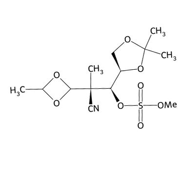 COS(=O)(=O)O[C@H]([C@H]1COC(C)(C)O1)[C@](C)(C#N)C1OC(C)O1